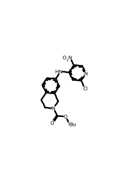 CC(C)(C)OC(=O)N1CCc2ccc(Nc3cc(Cl)ncc3[N+](=O)[O-])cc2C1